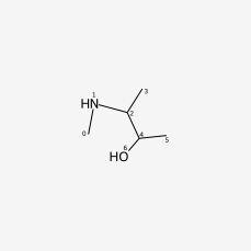 CNC(C)C(C)O